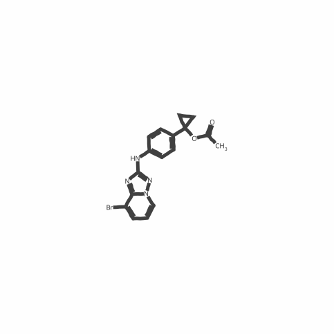 CC(=O)OC1(c2ccc(Nc3nc4c(Br)cccn4n3)cc2)CC1